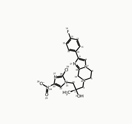 C[C@](O)(CN1CCn2cc(-c3ccc(F)cc3)nc2C1)Cn1cc([N+](=O)[O-])nc1Cl